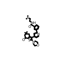 CN(C)CCNC(=O)c1cccc(-c2cc(-c3c(N4CCOCC4)sc4c3CC(C)(C)CC4=O)ccn2)c1